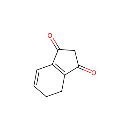 O=C1CC(=O)C2=C1C=CCC2